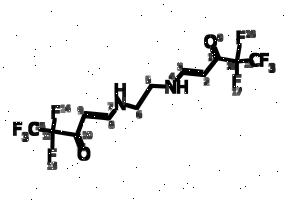 O=C(C=CNCCNC=CC(=O)C(F)(F)C(F)(F)F)C(F)(F)C(F)(F)F